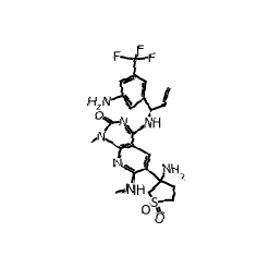 C=C[C@@H](Nc1nc(=O)n(C)c2nc(NC)c(C3(N)CCS(=O)(=O)C3)cc12)c1cc(N)cc(C(F)(F)F)c1